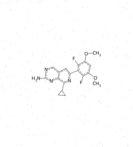 COc1cc(OC)c(F)c(-c2cc3cnc(N)nc3c(C3CC3)n2)c1F